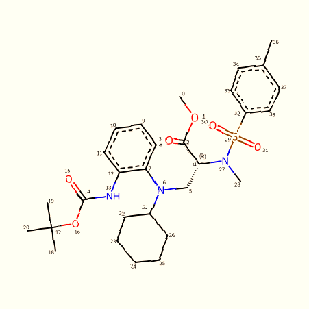 COC(=O)[C@@H](CN(c1ccccc1NC(=O)OC(C)(C)C)C1CCCCC1)N(C)S(=O)(=O)c1ccc(C)cc1